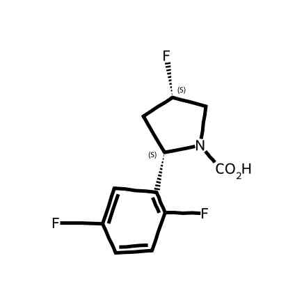 O=C(O)N1C[C@@H](F)C[C@H]1c1cc(F)ccc1F